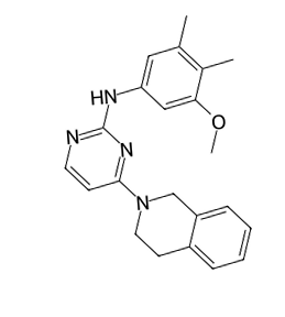 COc1cc(Nc2nccc(N3CCc4ccccc4C3)n2)cc(C)c1C